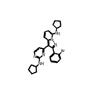 Brc1ccccc1-c1nn2c(NC3CCCC3)cccc2c1-c1ccnc(NC2CCCC2)n1